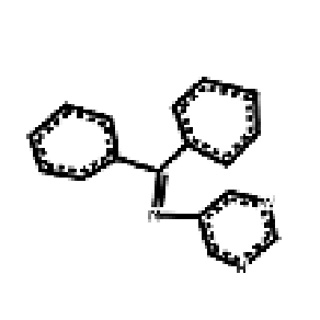 [c]1ncc(N=C(c2ccccc2)c2ccccc2)cn1